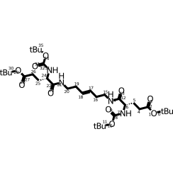 CC(C)(C)OC(=O)CC[C@H](NC(=O)OC(C)(C)C)C(=O)NCCC=CCCNC(=O)[C@H](CCC(=O)OC(C)(C)C)NC(=O)OC(C)(C)C